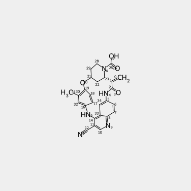 C=CC(=O)Nc1ccc2ncc(C#N)c(Nc3ccc(OC4CCN(C(=O)O)CC4)c(C)c3)c2c1